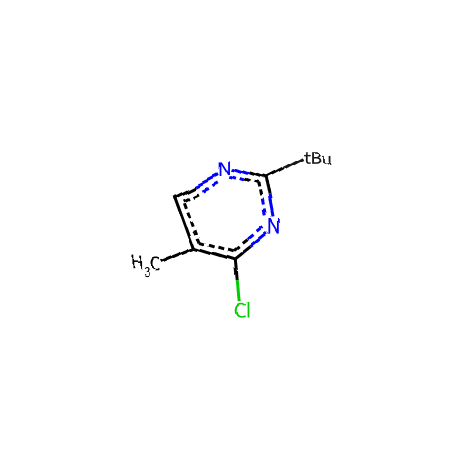 Cc1cnc(C(C)(C)C)nc1Cl